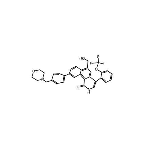 O=c1[nH]cc(-c2ccccc2OC(F)(F)F)c2cc(CO)c3ccc(-c4ccc(CN5CCOCC5)cc4)cc3c12